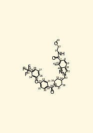 COCCNC(=O)c1ccc2cn(CC3CCN(C(=O)c4ccc(Oc5cccc(C(F)(F)F)c5)cc4)CC3)nc2c1C